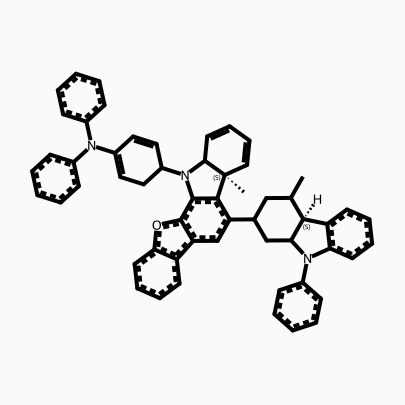 CC1CC(c2cc3c(oc4ccccc43)c3c2[C@]2(C)C=CC=CC2N3C2C=CC(N(c3ccccc3)c3ccccc3)=CC2)CC2[C@@H]1c1ccccc1N2c1ccccc1